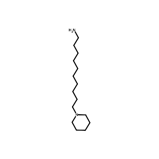 NCCCCCCCCCCN1CCCCC1